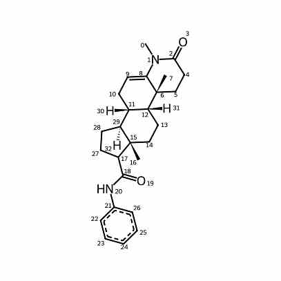 CN1C(=O)CC[C@@]2(C)C1=CC[C@@H]1[C@H]2CC[C@]2(C)C(C(=O)Nc3ccccc3)CC[C@@H]12